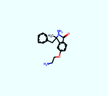 CC1(Cc2ccccc2)c2cc(OCCN)ccc2C(=O)N1N